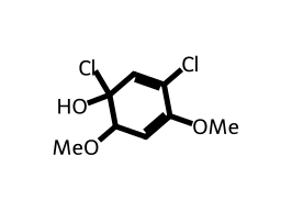 COC1=CC(OC)C(O)(Cl)C=C1Cl